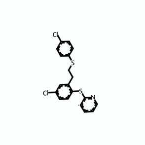 Clc1ccc(SCCc2cc(Cl)ccc2Sc2[c]cccn2)cc1